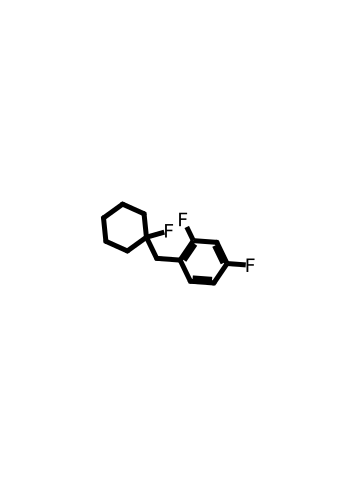 Fc1ccc(CC2(F)CCCCC2)c(F)c1